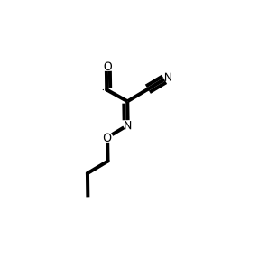 CCCON=C([C]=O)C#N